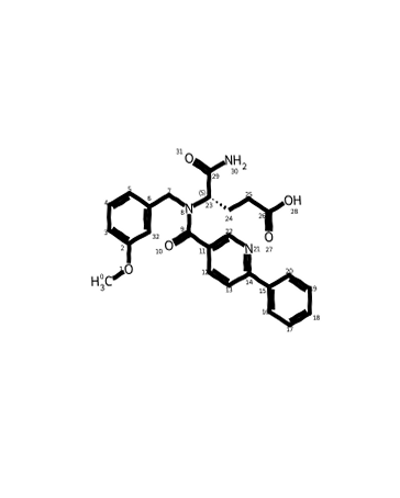 COc1cccc(CN(C(=O)c2ccc(-c3ccccc3)nc2)[C@@H](CCC(=O)O)C(N)=O)c1